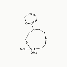 CO[Si]1(OC)CCCCCCN(C2=CC=CCO2)CCC1